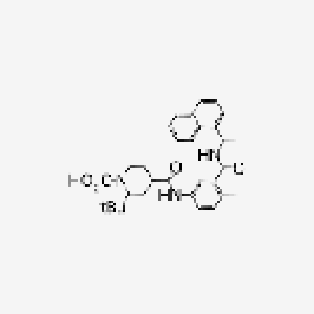 Cc1ccc(NC(=O)C2CCN(C(=O)O)C(C(C)(C)C)C2)cc1C(=O)NC(C)c1cccc2ccccc12